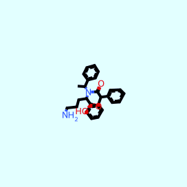 CC(c1ccccc1)N(C(=O)C(c1ccccc1)c1ccccc1)C(CCCN)C(=O)O